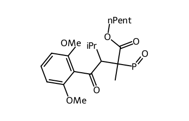 CCCCCOC(=O)C(C)(P=O)C(C(=O)c1c(OC)cccc1OC)C(C)C